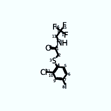 O=C(CSc1ccc(I)cc1Cl)NCC(F)(F)F